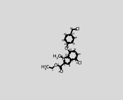 CCOC(=O)c1cc2c(Cl)ccc(Oc3ccc(CCl)cc3)c2n1C